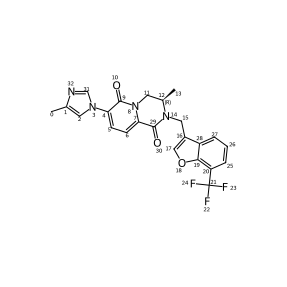 Cc1cn(-c2ccc3n(c2=O)C[C@@H](C)N(Cc2coc4c(C(F)(F)F)cccc24)C3=O)cn1